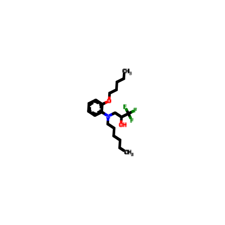 CCCCCCN(CC(O)C(F)(F)F)c1ccccc1OCCCCC